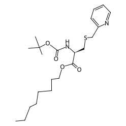 CCCCCCCCOC(=O)[C@H](CSCc1ccccn1)NC(=O)OC(C)(C)C